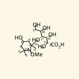 CON1C(C)(C)CC(O)CC1(C)C.O=C(O)[C@H](O)[C@@H](O)[C@H](O)[C@H](O)CO